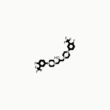 OC(CN1CCN(c2ccc(F)c(C(F)(F)F)c2)CC1)CN1CCN(c2ccc(F)c(C(F)(F)F)c2)CC1